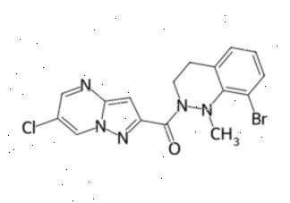 CN1c2c(Br)cccc2CCN1C(=O)c1cc2ncc(Cl)cn2n1